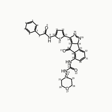 O=C(Cc1ccccc1)Nc1ccc(C2=C3C(=O)c4c(NC(=O)NN5CCOCC5)cccc4C3N=N2)s1